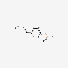 CCP(CC)Cc1ccc(/C=C/C(=O)O)cc1